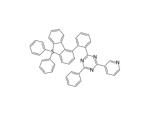 c1ccc(-c2nc(-c3cccnc3)nc(-c3ccccc3-c3cccc4c3-c3ccccc3S4(c3ccccc3)c3ccccc3)n2)cc1